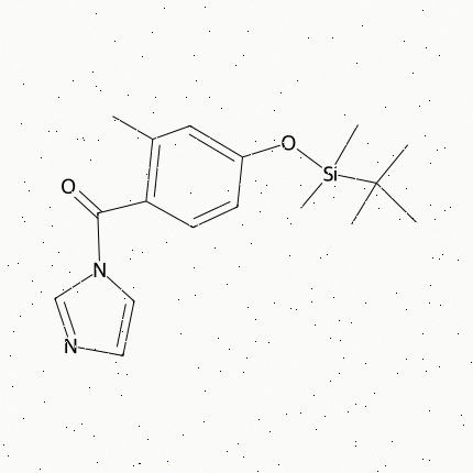 Cc1cc(O[Si](C)(C)C(C)(C)C)ccc1C(=O)n1ccnc1